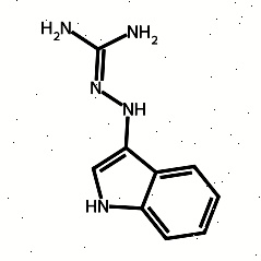 NC(N)=NNc1c[nH]c2ccccc12